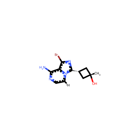 [2H]c1cnc(N)c2c(Br)nc([C@H]3C[C@@](C)(O)C3)n12